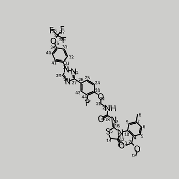 COC(C)c1ccc(C)cc1N1C(=O)CS/C1=N\C(=O)NCOc1ccc(-c2ncn(-c3ccc(OC(F)(F)F)cc3)n2)cc1F